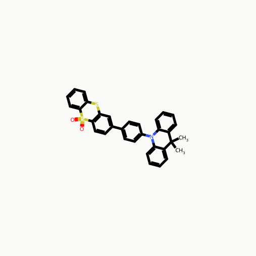 CC1(C)c2ccccc2N(c2ccc(-c3ccc4c(c3)Sc3ccccc3S4(=O)=O)cc2)c2ccccc21